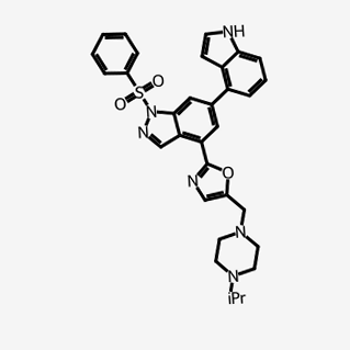 CC(C)N1CCN(Cc2cnc(-c3cc(-c4cccc5[nH]ccc45)cc4c3cnn4S(=O)(=O)c3ccccc3)o2)CC1